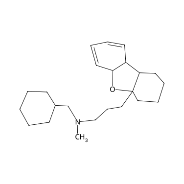 CN(CCCC12CCCCC1C1C=CC=CC1O2)CC1CCCCC1